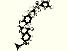 Cc1nc2cc(NC3CC3)ccc2c(=O)n1-c1ccc(NC(=O)NS(=O)(=O)c2ccc(Cl)s2)cc1F